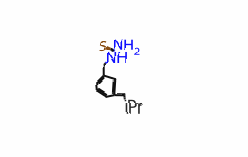 CC(C)Cc1cccc(CNC(N)=S)c1